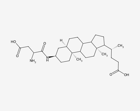 C[C@H](CCC(=O)O)C1CCC2C3CC[C@@H]4C[C@H](NC(=O)C(N)CC(=O)O)CC[C@]4(C)C3CC[C@@]21C